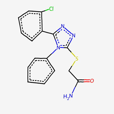 NC(=O)CSc1nnc(-c2ccccc2Cl)n1-c1ccccc1